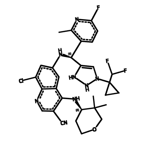 Cc1nc(F)ccc1[C@H](Nc1cc(Cl)c2ncc(C#N)c(N[C@@H]3CCOCC3(C)C)c2c1)C1=CN(C2(C(F)F)CC2)NN1